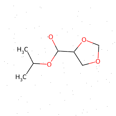 CC(C)OC([O])C1COCO1